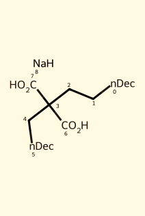 CCCCCCCCCCCCC(CCCCCCCCCCC)(C(=O)O)C(=O)O.[NaH]